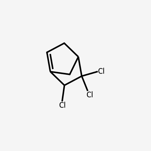 ClC1C2=CCC(C2)C1(Cl)Cl